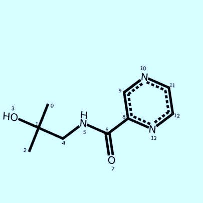 CC(C)(O)CNC(=O)c1cnccn1